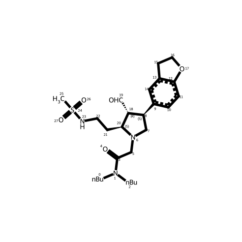 CCCCN(CCCC)C(=O)CN1C[C@H](c2ccc3c(c2)CCO3)[C@@H](C=O)[C@@H]1CCNS(C)(=O)=O